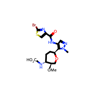 CO[C@@H]1CO[C@H](c2c(NC(=O)c3csc(Br)n3)cnn2C)CC[C@H]1NC(=O)O